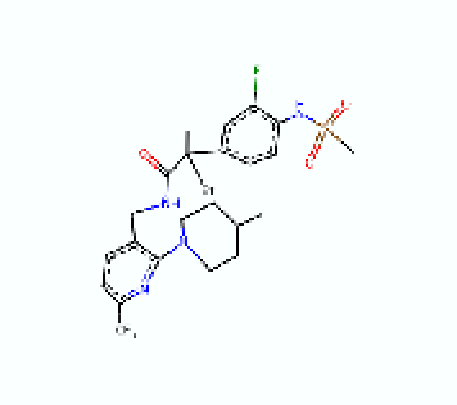 CCC(C)(C(=O)NCc1ccc(C(F)(F)F)nc1N1CCC(C)CC1)c1ccc(NS(C)(=O)=O)c(F)c1